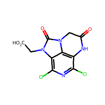 O=C(O)Cn1c(=O)n2c3c(c(Cl)nc(Cl)c31)NC(=O)C2